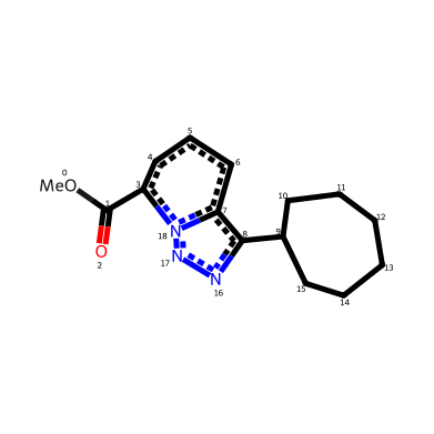 COC(=O)c1cccc2c(C3CCCCCC3)nnn12